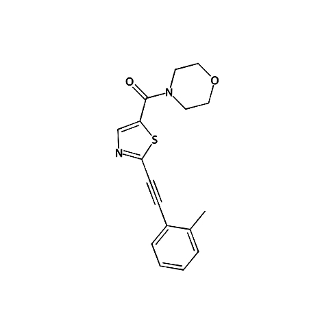 Cc1ccccc1C#Cc1ncc(C(=O)N2CCOCC2)s1